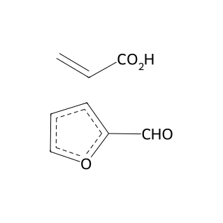 C=CC(=O)O.O=Cc1ccco1